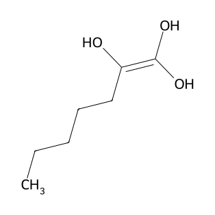 CCCCCC(O)=C(O)O